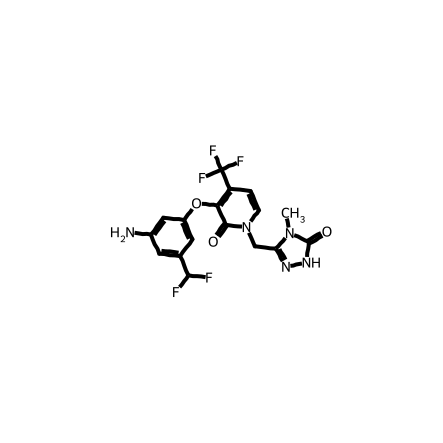 Cn1c(Cn2ccc(C(F)(F)F)c(Oc3cc(N)cc(C(F)F)c3)c2=O)n[nH]c1=O